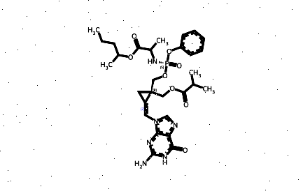 CCCC(C)OC(=O)C(C)N[P@](=O)(OC[C@]1(COC(=O)C(C)C)C/C1=C/n1cnc2c(=O)[nH]c(N)nc21)Oc1ccccc1